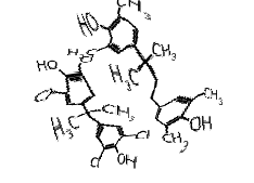 CC(C)(c1cc(Cl)c(O)c(Cl)c1)c1cc(Cl)c(O)c(Cl)c1.Cc1cc(CCC(C)(C)c2cc(C)c(O)c(C)c2)cc(C)c1O